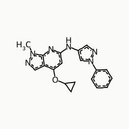 Cn1ncc2c(OC3CC3)cc(Nc3cnn(-c4ccccc4)c3)nc21